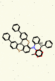 Cc1ccccc1N(c1ccccc1[SiH](c1ccccc1)c1ccccc1)c1ccc2c3c1Sc1ccc(-c4ccccc4)cc1B3c1cc(-c3ccccc3)ccc1S2